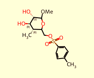 COC1OC(COS(=O)(=O)c2ccc(C)cc2)[C@H](C)[C@@H](O)[C@@H]1O